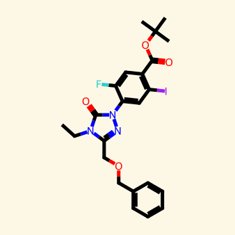 CCn1c(COCc2ccccc2)nn(-c2cc(I)c(C(=O)OC(C)(C)C)cc2F)c1=O